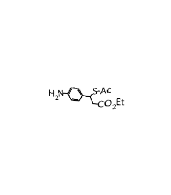 CCOC(=O)CC(SC(C)=O)c1ccc(N)cc1